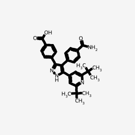 CC(C)(C)c1cc(-c2[nH]nc(-c3ccc(C(=O)O)cc3)c2-c2ccc(C(N)=O)cc2)cc(C(C)(C)C)n1